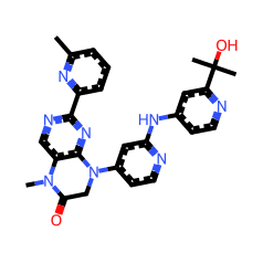 Cc1cccc(-c2ncc3c(n2)N(c2ccnc(Nc4ccnc(C(C)(C)O)c4)c2)CC(=O)N3C)n1